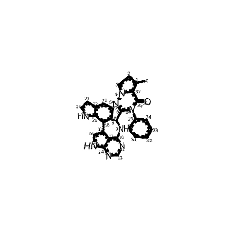 Cc1ccn2nc([C@H](C)Nc3ncnc4[nH]cc(-c5cccc6cc[nH]c56)c34)n(-c3ccccc3)c(=O)c12